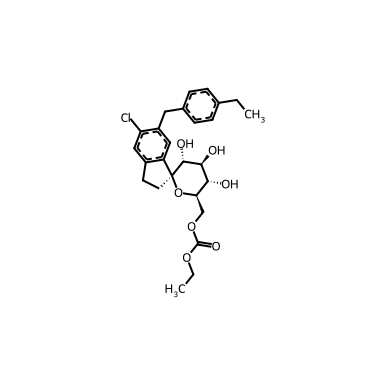 CCOC(=O)OC[C@H]1O[C@]2(CCc3cc(Cl)c(Cc4ccc(CC)cc4)cc32)[C@H](O)[C@@H](O)[C@@H]1O